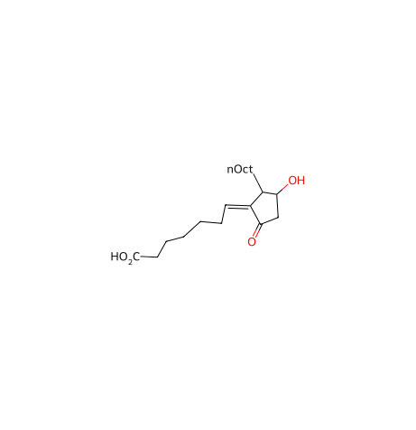 CCCCCCCCC1C(=CCCCCCC(=O)O)C(=O)CC1O